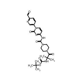 CC(C)(C)OC(=O)NC(C)(C)C(=O)N1CCN(C(=O)Nc2ccn(-c3ccc(C=O)nc3)c(=O)n2)CC1